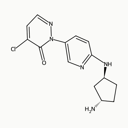 N[C@H]1CC[C@H](Nc2ccc(-n3nccc(Cl)c3=O)cn2)C1